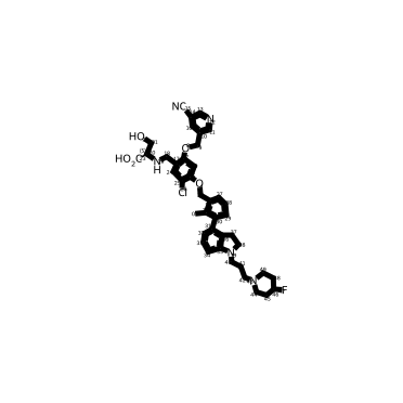 Cc1c(COc2cc(OCc3cncc(C#N)c3)c(CN[C@@H](CO)C(=O)O)cc2Cl)cccc1-c1cccc2c1CCN2CCCN1CCC(F)CC1